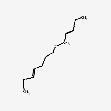 CCC=CCCCO[SiH2]CCCC